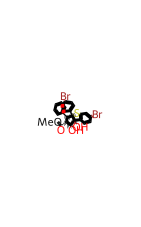 COC(=O)[C@H]1[C@@H](O)[C@@]2(O)c3ccc(Br)cc3S[C@@]2(c2ccc(Br)cc2)[C@@H]1c1ccccc1